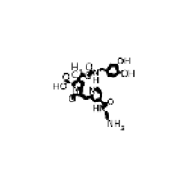 C[C@@]1(COC(=O)NCc2ccc(O)c(O)c2)CC2/C(=C\c3cc(C(=O)NCCN)ccn3)C(=O)N2[C@H]1C(=O)O